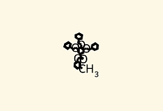 Cc1cccc(OC(=O)c2cc(OCc3ccccc3)c(OCc3ccccc3)c(OCc3ccccc3)c2)c1